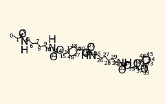 CCC(=O)NCCCCCCNC(=O)OCC1CCC(COC(=O)NCCCCCCNC(=O)OCC(COC)Oc2ccccc2)CC1